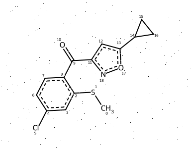 CSc1cc(Cl)ccc1C(=O)c1cc(C2CC2)on1